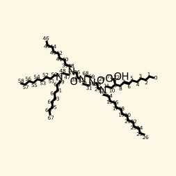 CCCCCCC=CCC(CCN(CCCCCCCCCCCCCC)CC(=O)N1CCN(C(=O)CN(CCCCCCCCC)CCN(CCCCCCCCC)CCCCCCCCC)CC1)C(=O)O